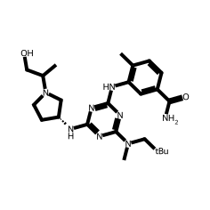 Cc1ccc(C(N)=O)cc1Nc1nc(N[C@@H]2CCN(C(C)CO)C2)nc(N(C)CC(C)(C)C)n1